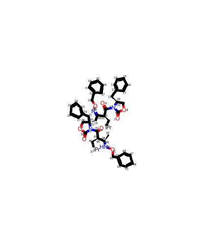 CC(C)C[C@H](C(=O)N1C(=O)OC[C@@H]1Cc1ccccc1)C(C[C@@]1(Cc2ccccc2)COC(=O)N1C(=O)[C@H](CC(C)C)[C@@H](C)NOCc1ccccc1)=NOCc1ccccc1